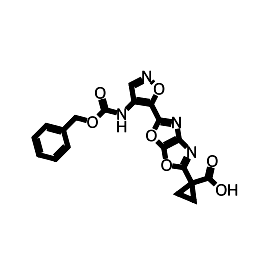 O=C(Nc1cnoc1-c1nc2nc(C3(C(=O)O)CC3)oc2o1)OCc1ccccc1